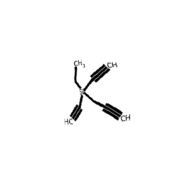 C#C[Si](C#C)(C#C)CC